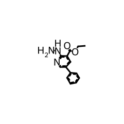 CCOC(=O)c1cc(-c2ccccc2)cnc1NN